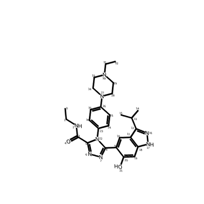 CCNC(=O)c1nnc(-c2cc3c(C(C)C)n[nH]c3cc2O)n1-c1ccc(N2CCN(CC)CC2)cc1